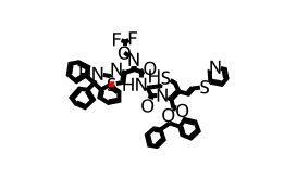 O=C(OC(c1ccccc1)c1ccccc1)C1=C(/C=C/Sc2cccnc2)CS[C@@H]2C(NC(=O)/C(=N/OC(F)F)c3csc(NC(c4ccccc4)(c4ccccc4)c4ccccc4)n3)C(=O)N12